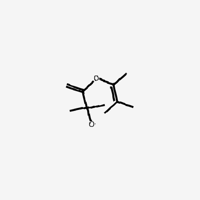 C=C(OC(C)=C(C)C)C(C)(C)[O]